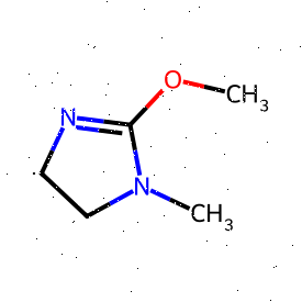 COC1=N[CH]CN1C